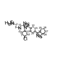 CNCCN1Cc2cc(Cl)ccc2-n2c(nnc2C2CCC(c3nsc4ccccc34)CC2)C1